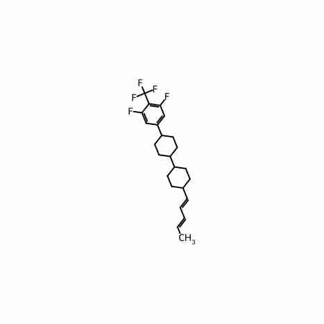 CC=CC=CC1CCC(C2CCC(c3cc(F)c(C(F)(F)F)c(F)c3)CC2)CC1